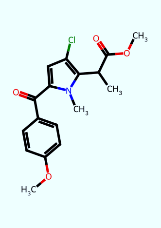 COC(=O)C(C)c1c(Cl)cc(C(=O)c2ccc(OC)cc2)n1C